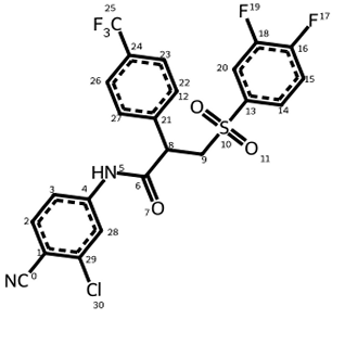 N#Cc1ccc(NC(=O)C(CS(=O)(=O)c2ccc(F)c(F)c2)c2ccc(C(F)(F)F)cc2)cc1Cl